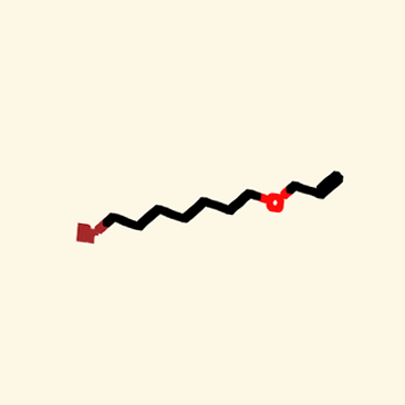 C=CCOCCCCCCCBr